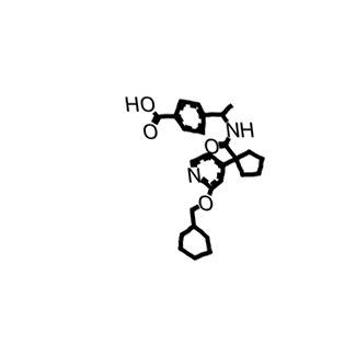 CC(NC(=O)C1(c2ccnc(OCC3CCCCC3)c2)CCCC1)c1ccc(C(=O)O)cc1